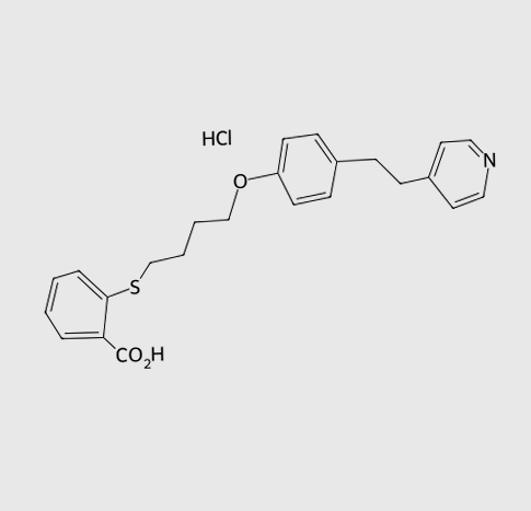 Cl.O=C(O)c1ccccc1SCCCCOc1ccc(CCc2ccncc2)cc1